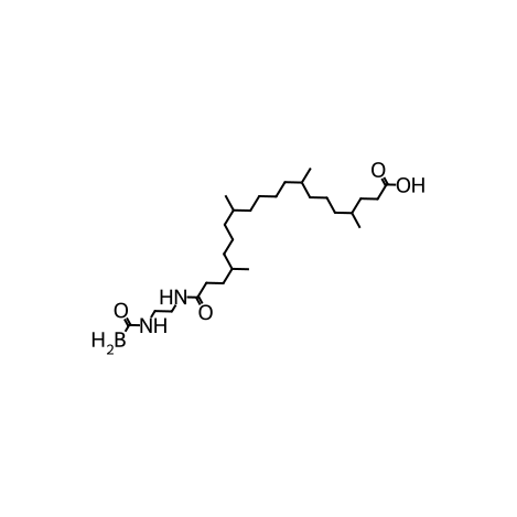 BC(=O)NCCNC(=O)CCC(C)CCCC(C)CCCCC(C)CCCC(C)CCC(=O)O